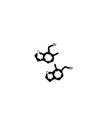 Cc1c(CBr)ccc2ccoc12.Cc1ccc2ccoc2c1CBr